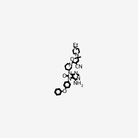 CCN1CCN(C(C)(C)/C=C(/C#N)C(=O)N2CCC[C@H](n3c(=O)n(-c4ccc(Oc5ccccc5)cc4)c4c(N)ncnc43)C2)CC1